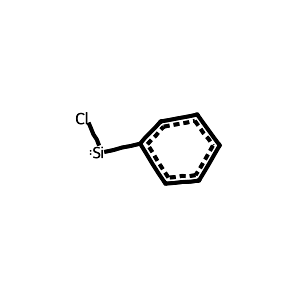 Cl[Si]c1ccccc1